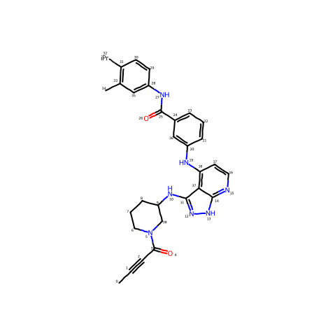 CC#CC(=O)N1CCCC(Nc2n[nH]c3nccc(Nc4cccc(C(=O)Nc5ccc(C(C)C)c(C)c5)c4)c23)C1